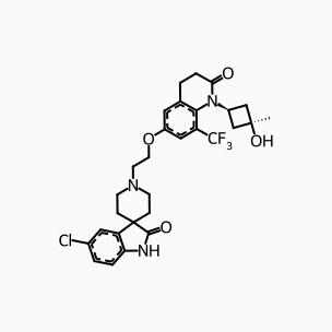 C[C@]1(O)C[C@@H](N2C(=O)CCc3cc(OCCN4CCC5(CC4)C(=O)Nc4ccc(Cl)cc45)cc(C(F)(F)F)c32)C1